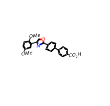 COc1ccc(OC)c(-c2coc(-c3ccc(-c4ccc(C(=O)O)cc4)cc3)n2)c1